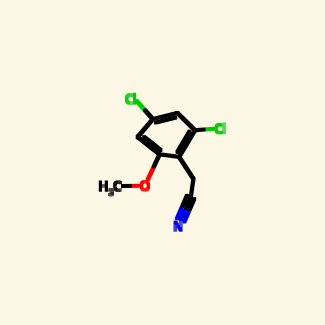 COc1cc(Cl)cc(Cl)c1CC#N